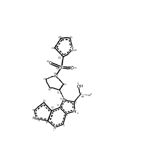 C[C@@H](O)c1nc2cnc3[nH]ccc3c2n1C1CCN(S(=O)(=O)c2cccs2)C1